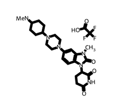 CNC1CCC(N2CCN(c3ccc4c(c3)n(C)c(=O)n4C3CCC(=O)NC3=O)CC2)CC1.O=C(O)C(F)(F)F